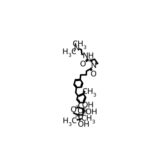 Cc1ccc([C@@]23OC[C@@](C(C)(C)O)(C[C@H](O)[C@H]2O)O3)cc1Cc1ccc(CCCC(=O)N2CC[C@H]2C(=O)NCCN(C)C)cc1